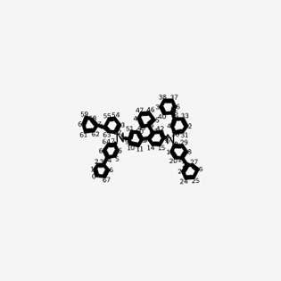 c1ccc(-c2ccc(N(c3ccc(-c4ccc(N(c5ccc(-c6ccccc6)cc5)c5cccc(-c6ccccc6)c5)cc4-c4ccccc4)cc3)c3cccc(-c4ccccc4)c3)cc2)cc1